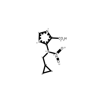 O=C(O)c1ncsc1N(CC1CC1)[SH](=O)=O